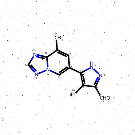 Cc1cc(-c2[nH]nc(C=O)c2C(C)C)cn2ncnc12